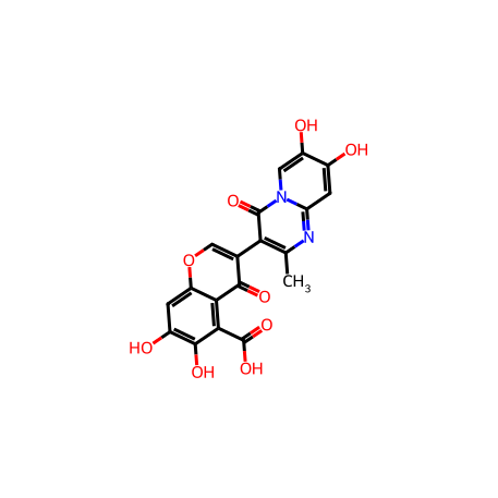 Cc1nc2cc(O)c(O)cn2c(=O)c1-c1coc2cc(O)c(O)c(C(=O)O)c2c1=O